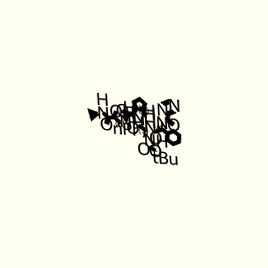 CCC[C@H](NC(=O)C1[C@H]2CCC[C@H]2CN1C(=O)[C@H](CNC(=O)OC(C)(C)C)NC(=O)[C@@H](NC(=O)c1cnccn1)C1CCCCC1)C(O)C(=O)NC1CC1